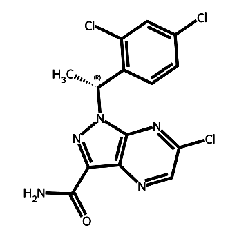 C[C@H](c1ccc(Cl)cc1Cl)n1nc(C(N)=O)c2ncc(Cl)nc21